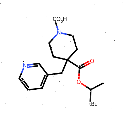 CC(OC(=O)C1(Cc2cccnc2)CCN(C(=O)O)CC1)C(C)(C)C